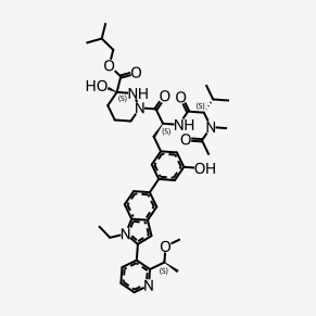 CCn1c(-c2cccnc2[C@H](C)OC)cc2cc(-c3cc(O)cc(C[C@H](NC(=O)[C@H](C(C)C)N(C)C(C)=O)C(=O)N4CCC[C@](O)(C(=O)OCC(C)C)N4)c3)ccc21